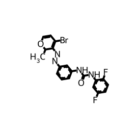 CC1OC=CC(Br)=C1N=Nc1cccc(NC(=O)Nc2cc(F)ccc2F)c1